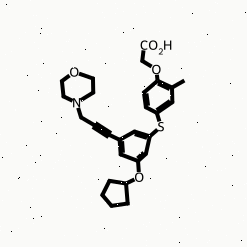 Cc1cc(Sc2cc(C#CCN3CCOCC3)cc(OC3CCCC3)c2)ccc1OCC(=O)O